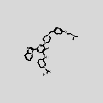 CN(C)CCOc1ccc(CN2CCN(c3nc(-c4cnc5ccccn45)nc(NC4CCCN(C(=O)O)C4)c3F)CC2)cc1